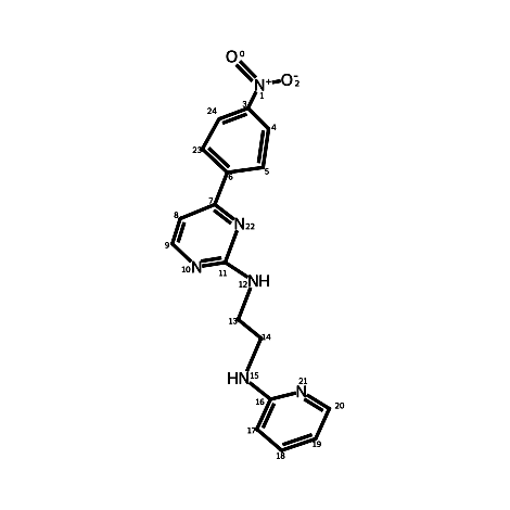 O=[N+]([O-])c1ccc(-c2ccnc(NCCNc3ccccn3)n2)cc1